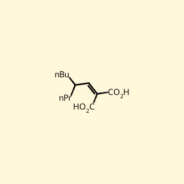 CCCCC(C=C(C(=O)O)C(=O)O)CCC